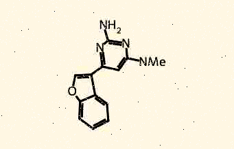 CNc1cc(-c2coc3ccccc23)nc(N)n1